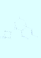 Fc1ccc2c(c1)OCCN2C1CNC1